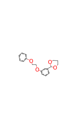 c1ccc(OCCOc2cccc(C3OCCCO3)c2)cc1